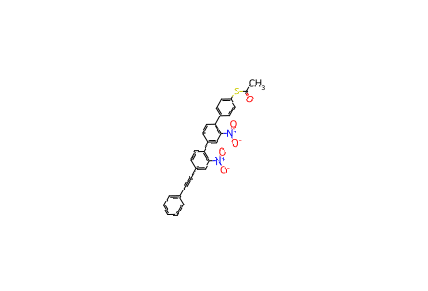 CC(=O)Sc1ccc(-c2ccc(-c3ccc(C#Cc4ccccc4)cc3[N+](=O)[O-])cc2[N+](=O)[O-])cc1